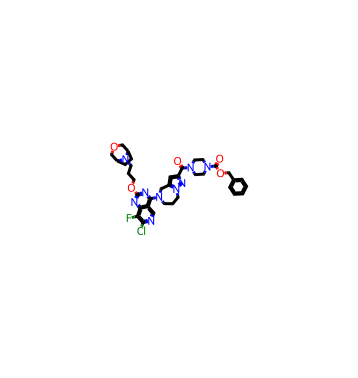 O=C(OCc1ccccc1)N1CCN(C(=O)c2cc3n(n2)CCCN(c2nc(OCCCN4C5CCC4COC5)nc4c(F)c(Cl)ncc24)C3)CC1